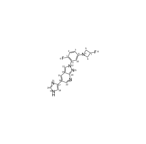 Fc1ccc(N2CC(F)C2)cc1-n1cc2cc(-c3c[nH]cn3)cnc2n1